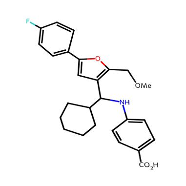 COCc1oc(-c2ccc(F)cc2)cc1C(Nc1ccc(C(=O)O)cc1)C1CCCCC1